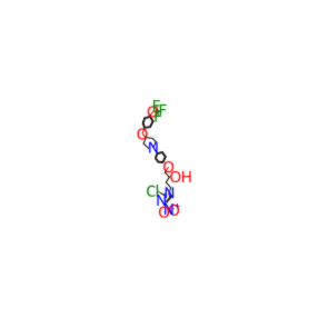 O=[N+]([O-])c1cn(CC[C@@H](O)COc2ccc(N3CCC(Oc4ccc(OC(F)(F)F)cc4)CC3)cc2)c(Cl)n1